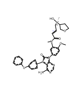 COc1ccc(-n2c(=O)n(-c3ccc(Oc4ccccc4)cc3)c3c(N)ncnc32)cc1N(C)C(=O)/C=C/C[N@@+](C)(O)C1CCOC1